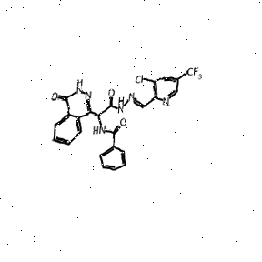 O=C(NC(C(=O)NN=Cc1ncc(C(F)(F)F)cc1Cl)c1n[nH]c(=O)c2ccccc12)c1ccccc1